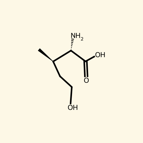 C[C@H](CCO)[C@H](N)C(=O)O